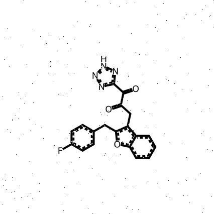 O=C(Cc1c(Cc2ccc(F)cc2)oc2ccccc12)C(=O)c1nn[nH]n1